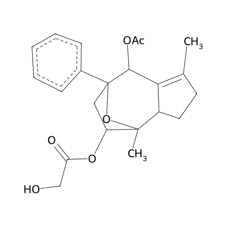 CC(=O)OC1C2=C(C)CCC2C2(C)OC1(c1ccccc1)CC2OC(=O)CO